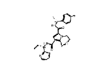 CC[C@H](NC(=O)c1cc(C(=O)N[C@H](C)c2ccc(F)cc2)n2c1COCC2)c1ncccn1